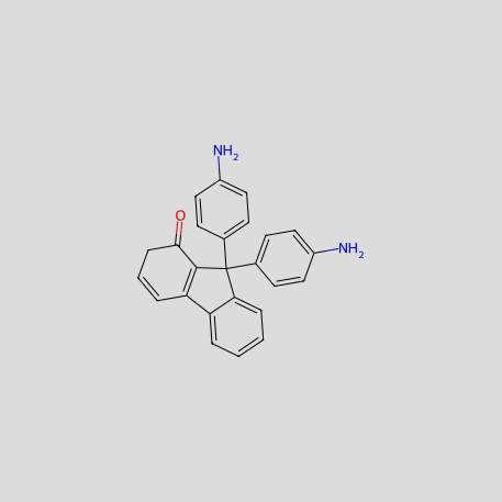 Nc1ccc(C2(c3ccc(N)cc3)C3=C(C=CCC3=O)c3ccccc32)cc1